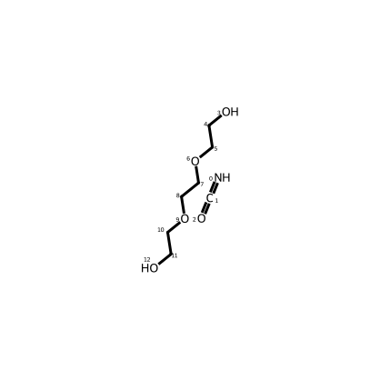 N=C=O.OCCOCCOCCO